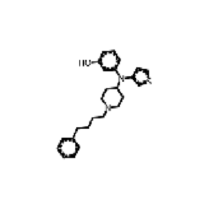 Oc1cccc(N(c2ccsc2)C2CCN(CCCCc3ccccc3)CC2)c1